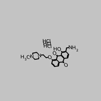 CN1CCN(CCOc2cccc3c2C(=O)c2c(ccc(CN)c2O)C3=O)CC1.Cl.Cl.Cl